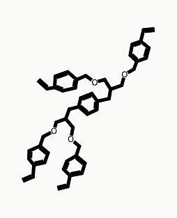 C=Cc1ccc(COCC(COCc2ccc(C=C)cc2)Cc2ccc(CC(COCc3ccc(C=C)cc3)COCc3ccc(C=C)cc3)cc2)cc1